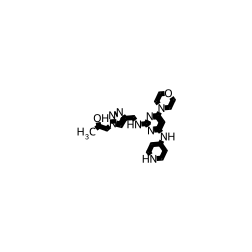 CC(O)Cn1cc(CNc2nc(NC3CCNCC3)cc(N3CCOCC3)n2)nn1